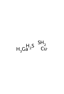 S.S.[Cu].[GaH3]